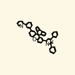 c1ccc(-c2cc(-c3ccc4c(c3)C3(c5cc(-c6cccc(-c7ccccn7)c6)ccc5O4)c4ccccc4-c4ccccc43)nc(-c3ccccc3)n2)cc1